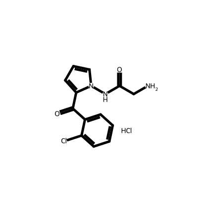 Cl.NCC(=O)Nn1cccc1C(=O)c1ccccc1Cl